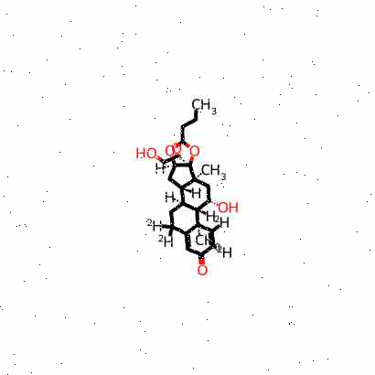 [2H]C1=C([2H])[C@@]2(C)C(=CC1=O)C([2H])([2H])C[C@@H]1[C@@H]2[C@@H](O)C[C@@]2(C)[C@H]1C[C@H]1OC(CCC)O[C@]12C(=O)CO